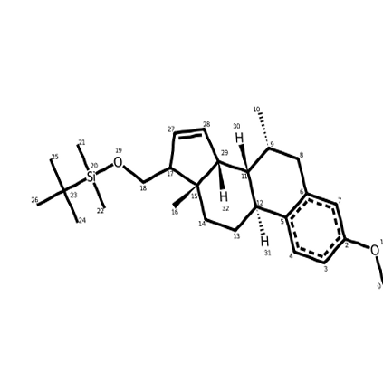 COc1ccc2c(c1)C[C@@H](C)[C@@H]1[C@@H]2CC[C@]2(C)C(CO[Si](C)(C)C(C)(C)C)C=C[C@H]12